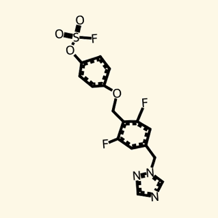 O=S(=O)(F)Oc1ccc(OCc2c(F)cc(Cn3cncn3)cc2F)cc1